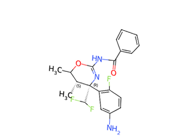 CC1OC(NC(=O)c2ccccc2)=N[C@](c2cc(N)ccc2F)(C(F)F)[C@@H]1C